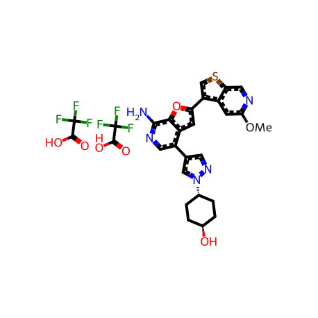 COc1cc2c(-c3cc4c(-c5cnn([C@H]6CC[C@H](O)CC6)c5)cnc(N)c4o3)csc2cn1.O=C(O)C(F)(F)F.O=C(O)C(F)(F)F